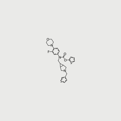 O=C(Oc1cccs1)N(CC1C2CN(Cc3ccsc3)CC21)c1ccc(N2CCOCC2)c(F)c1